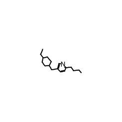 CCCCc1ccc(CC2CCC(CC)CC2)cn1